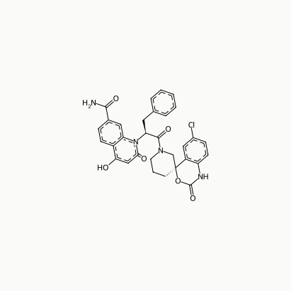 NC(=O)c1ccc2c(O)cc(=O)n([C@@H](Cc3ccccc3)C(=O)N3CCC[C@@]4(C3)OC(=O)Nc3ccc(Cl)cc34)c2c1